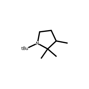 CC1CCN(C(C)(C)C)C1(C)C